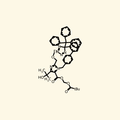 CCOCc1nc(C(C)(C)O)c(C(=O)OCOC(=O)C(C)(C)C)n1Cc1ccc(-c2ccccc2C2(C(c3ccccc3)(c3ccccc3)c3ccccc3)N=NN=N2)cc1